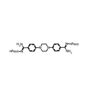 CCCCCN=C(N)c1ccc(N2CCN(c3ccc(C(N)=NCCCCC)cc3)CC2)cc1